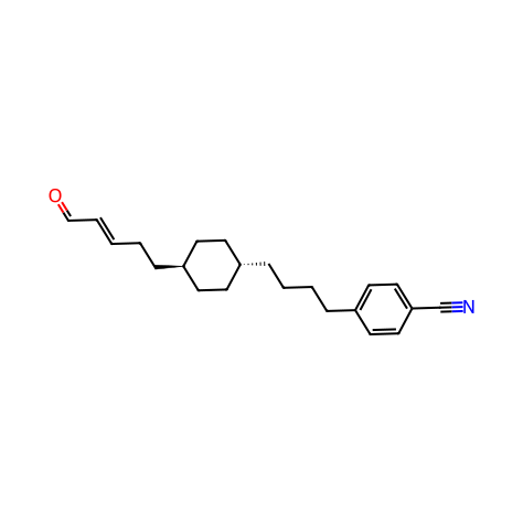 N#Cc1ccc(CCCC[C@H]2CC[C@H](CC/C=C/C=O)CC2)cc1